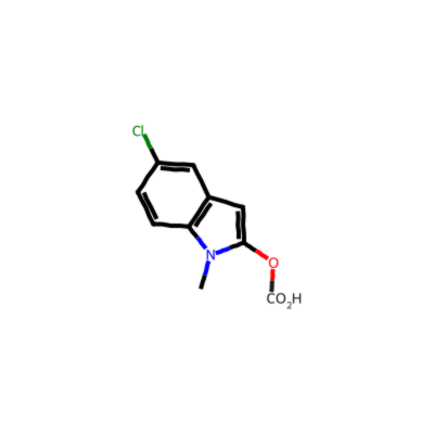 Cn1c(OC(=O)O)cc2cc(Cl)ccc21